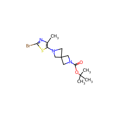 Cc1nc(Br)sc1N1CC2(CN(C(=O)OC(C)(C)C)C2)C1